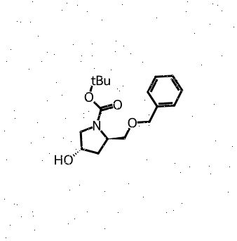 CC(C)(C)OC(=O)N1C[C@@H](O)C[C@@H]1COCc1ccccc1